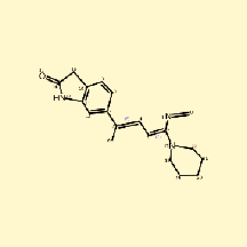 C=N/C(=C\C=C(/C)c1ccc2c(c1)NC(=O)C2)N1CCCCC1